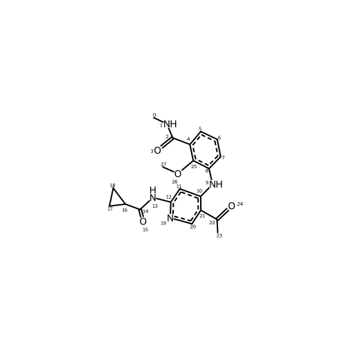 CNC(=O)c1cccc(Nc2cc(NC(=O)C3CC3)ncc2C(C)=O)c1OC